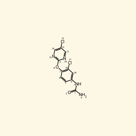 NC(=O)Nc1ccc(Oc2ncc(Cl)cn2)c(Cl)c1